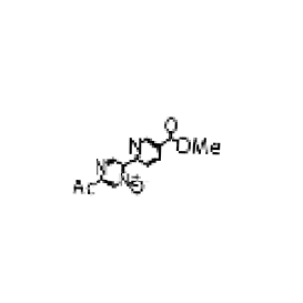 COC(=O)c1ccc(-c2cnc(C(C)=O)c[n+]2[O-])nc1